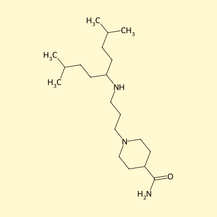 CC(C)CCC(CCC(C)C)NCCCN1CCC(C(N)=O)CC1